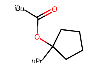 CCCC1(OC(=O)C(C)CC)CCCC1